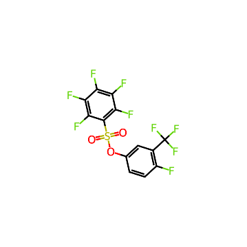 O=S(=O)(Oc1ccc(F)c(C(F)(F)F)c1)c1c(F)c(F)c(F)c(F)c1F